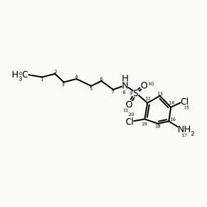 CCCCCCCCNS(=O)(=O)c1cc(Cl)c(N)cc1Cl